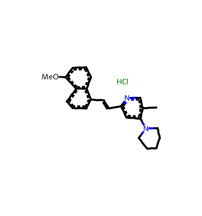 COc1cccc2c(C=Cc3cc(N4CCCCC4)c(C)cn3)cccc12.Cl